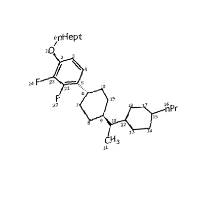 CCCCCCCOc1ccc([C@H]2CC[C@H](C(C)C3CCC(CCC)CC3)CC2)c(F)c1F